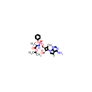 C=C1[C@@H](n2cc(F)c3c(N)ncnc32)[C@H](CO)[C@H]1COP(=O)(N[C@@H](C)C(=O)OC(C)C)Oc1ccccc1